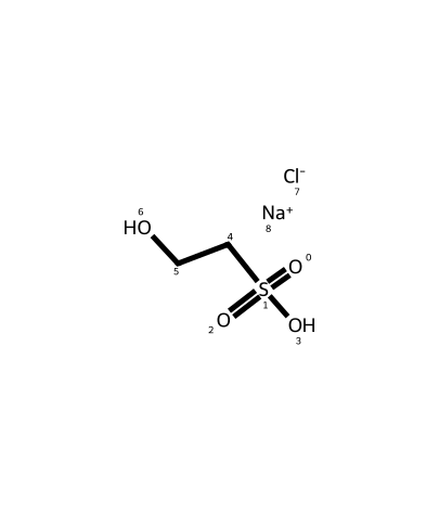 O=S(=O)(O)CCO.[Cl-].[Na+]